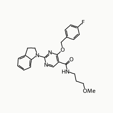 COCCCNC(=O)c1cnc(N2CCc3ccccc32)nc1OCc1ccc(F)cc1